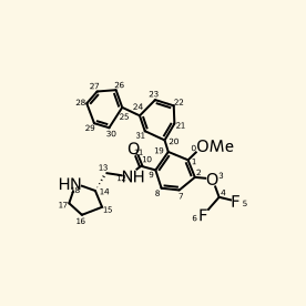 COc1c(OC(F)F)ccc(C(=O)NC[C@@H]2CCCN2)c1-c1cccc(-c2ccccc2)c1